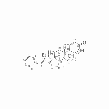 CC/C(=C\c1ccccc1)[C@H]1CC[C@H]2[C@@H]3CCC4NC(=O)C=C[C@]4(C)[C@H]3CC[C@]12C